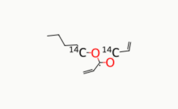 C=C[14CH2]O[C](C=C)O[14CH2]CCCC